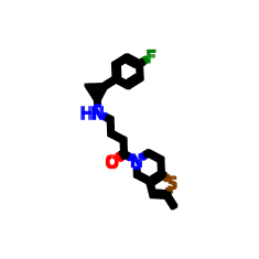 Cc1cc2c(s1)CCN(C(=O)CCCNC1CC1c1ccc(F)cc1)C2